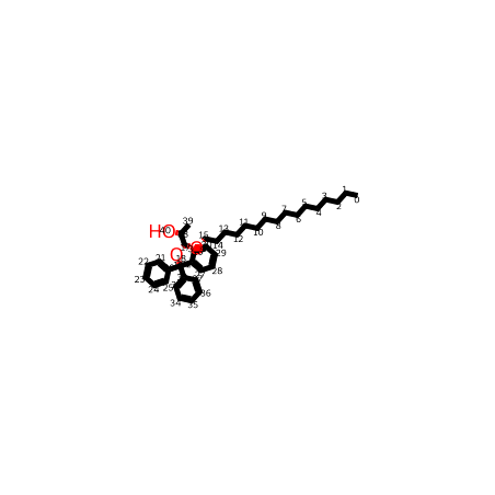 CCCCCCCCCCCCCCCCOC(OC(c1ccccc1)(c1ccccc1)c1ccccc1)C(C)O